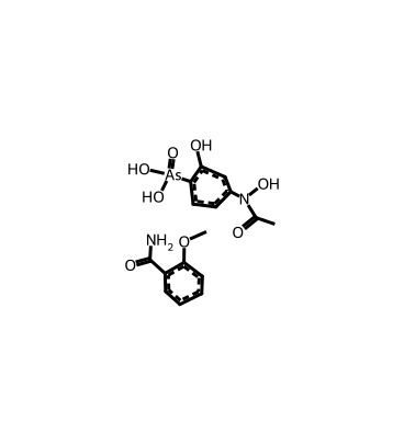 CC(=O)N(O)c1ccc([As](=O)(O)O)c(O)c1.COc1ccccc1C(N)=O